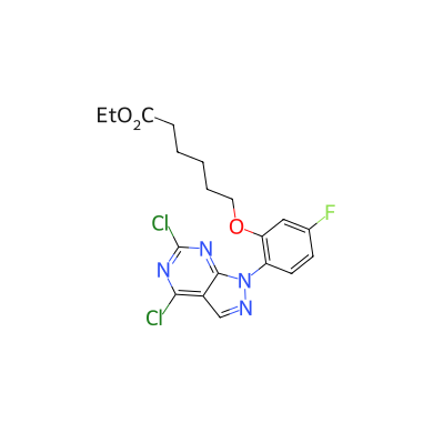 CCOC(=O)CCCCCOc1cc(F)ccc1-n1ncc2c(Cl)nc(Cl)nc21